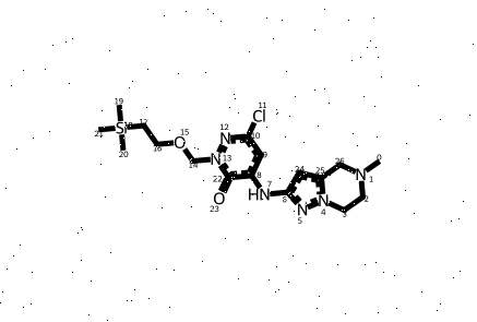 CN1CCn2nc(Nc3cc(Cl)nn(COCC[Si](C)(C)C)c3=O)cc2C1